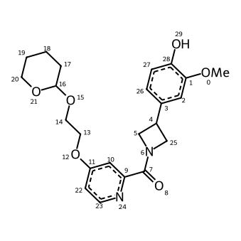 COc1cc(C2CN(C(=O)c3cc(OCCOC4CCCCO4)ccn3)C2)ccc1O